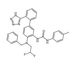 Cc1ccc(NC(=O)Nc2cc(-c3ccccc3-c3nnn[nH]3)ccc2N(Cc2ccccc2)CC(F)F)cc1